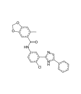 Cc1cc2c(cc1C(=O)Nc1ccc(Cl)c(-c3ncc(-c4ccccc4)[nH]3)c1)OCO2